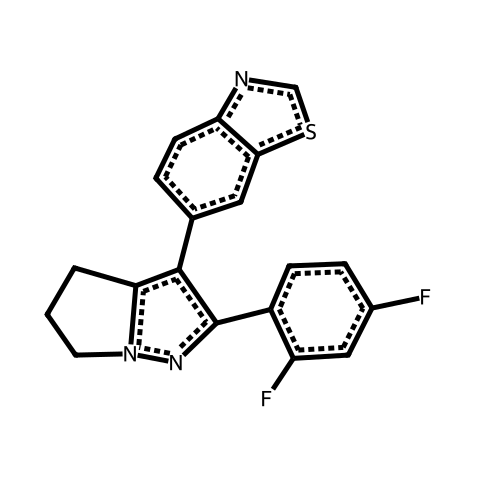 Fc1ccc(-c2nn3c(c2-c2ccc4ncsc4c2)CCC3)c(F)c1